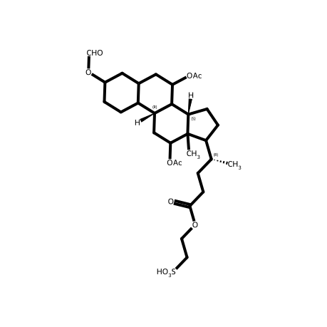 CC(=O)OC1CC2CC(OC=O)CCC2[C@H]2CC(OC(C)=O)C3(C)C([C@H](C)CCC(=O)OCCS(=O)(=O)O)CC[C@H]3C12